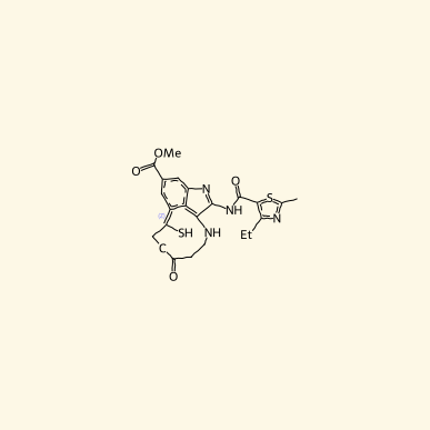 CCc1nc(C)sc1C(=O)NC1=Nc2cc(C(=O)OC)c/c3c2=C1NCCC(=O)CC/C=3S